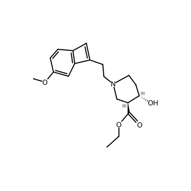 CCOC(=O)[C@H]1CN(CCC2=Cc3ccc(OC)cc32)CC[C@@H]1O